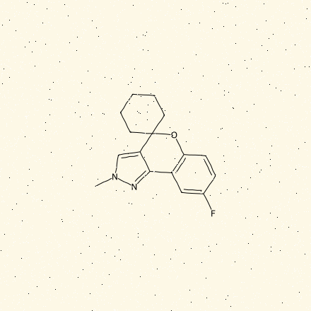 Cn1cc2c(n1)-c1cc(F)ccc1OC21CCCCC1